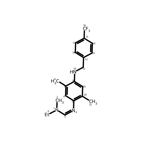 CCN(C)/C=N\c1cc(C)c(NCc2ccc(C(F)(F)F)cc2)cc1C